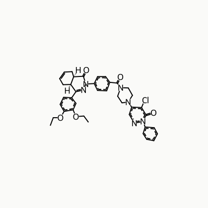 CCOc1ccc(C2=NN(c3ccc(C(=O)N4CCN(c5cnn(-c6ccccc6)c(=O)c5Cl)CC4)cc3)C(=O)[C@@H]3CC=CC[C@H]23)cc1OCC